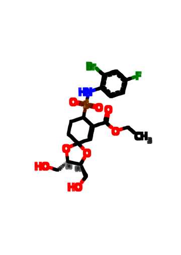 CCOC(=O)C1=CC2(CCC1S(=O)(=O)Nc1ccc(F)cc1Br)O[C@@H](CO)[C@H](CO)O2